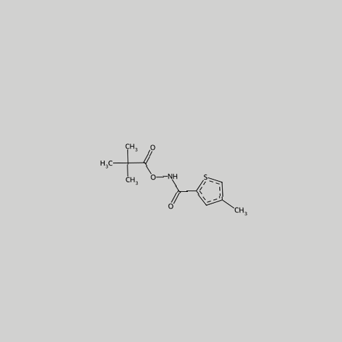 Cc1csc(C(=O)NOC(=O)C(C)(C)C)c1